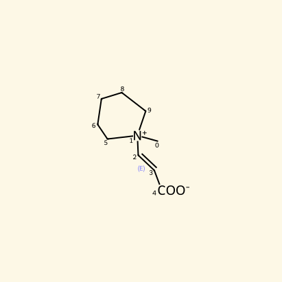 C[N+]1(/C=C/C(=O)[O-])CCCCC1